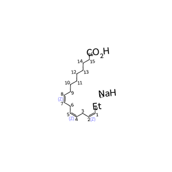 CC/C=C\C/C=C\C/C=C\CCCCCCCC(=O)O.[NaH]